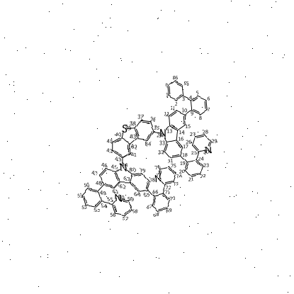 c1ccc(-c2ccccc2-c2ccc3c(c2)c2cc(-c4ccccc4-c4ccccn4)ccc2n3-c2ccc3sc4ccc(-n5c6ccc(-c7ccccc7-c7ccccn7)cc6c6cc(-c7ccccc7-c7ccccn7)ccc65)cc4c3c2)cc1